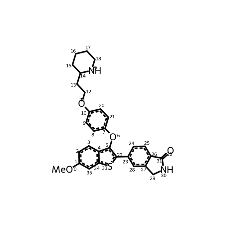 COc1ccc2c(Oc3ccc(OCCC4CCCCN4)cc3)c(-c3ccc4c(c3)CNC4=O)sc2c1